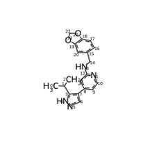 CC(C)c1[nH]ncc1-c1ccnc(NCc2ccc3c(c2)OCO3)c1